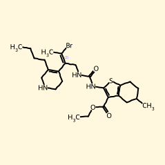 CCCCC1=C(/C(CNC(=O)Nc2sc3c(c2C(=O)OCC)CC(C)CC3)=C(\C)Br)CCNC1